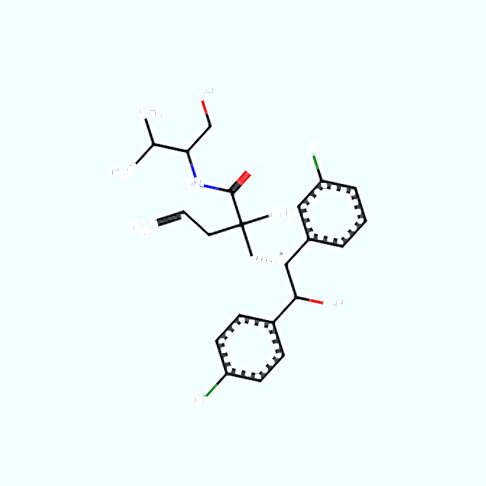 C=CCC(C)(C[C@H](c1cccc(Cl)c1)C(O)c1ccc(Cl)cc1)C(=O)NC(CO)C(C)C